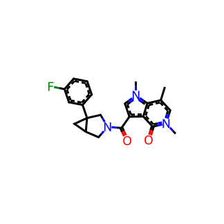 Cc1cn(C)c(=O)c2c(C(=O)N3CC4CC4(c4cccc(F)c4)C3)cn(C)c12